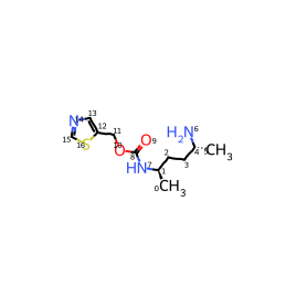 C[C@H](CC[C@@H](C)N)NC(=O)OCc1cncs1